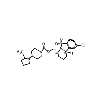 CC1CCCN1C1CCN(C(=O)OC[C@H]2CCC[C@H]3c4cc(Cl)ccc4S(=O)(=O)N23)CC1